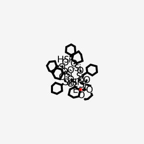 CCC1([Si](C)(C)O[Si]2(C3CCCCC3)O[Si]3(C4CCCCC4)O[SiH](C4CCCCC4)O[Si]4(C5CCCCC5)O[SiH](C5CCCCC5)O[Si](C5CCCCC5)(O[Si](C5CCCCC5)(O4)O3)O2)OCCCO1